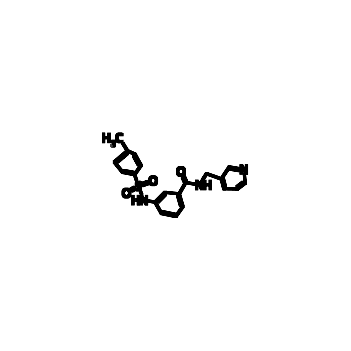 Cc1ccc(S(=O)(=O)Nc2cccc(C(=O)NCc3cccnc3)c2)cc1